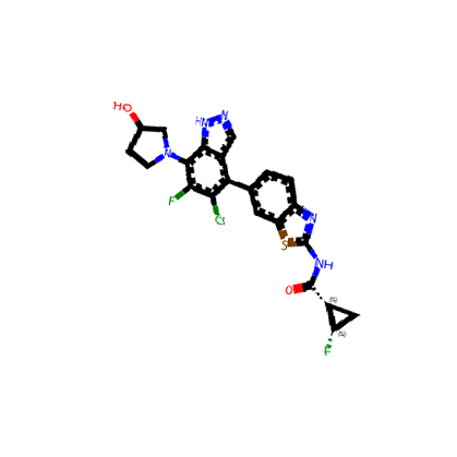 O=C(Nc1nc2ccc(-c3c(Cl)c(F)c(N4CCC(O)C4)c4[nH]ncc34)cc2s1)[C@@H]1C[C@@H]1F